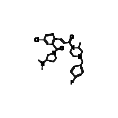 CC1CN(Cc2ccc(F)cc2)CCN1C(=O)C=Cc1ccc(Cl)cc1C(=O)N1CCC(N(C)C)C1